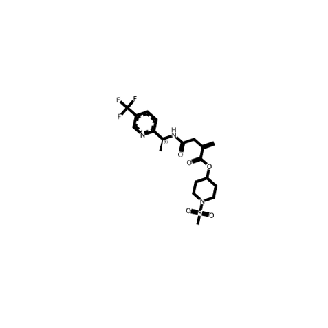 C=C(CC(=O)N[C@@H](C)c1ccc(C(F)(F)F)cn1)C(=O)OC1CCN(S(C)(=O)=O)CC1